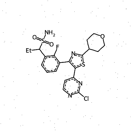 CCC(c1cccc(-c2nc(C3CCOCC3)sc2-c2ccnc(Cl)n2)c1F)S(N)(=O)=O